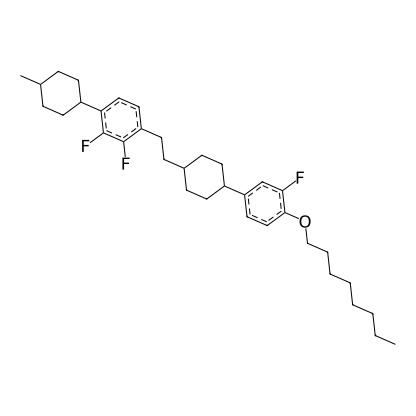 CCCCCCCCOc1ccc(C2CCC(CCc3ccc(C4CCC(C)CC4)c(F)c3F)CC2)cc1F